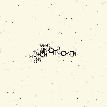 CCC1C(=O)N(C)c2cnc(Nc3ccc(C(=O)Nc4ccc(N5CCN(C)CC5)cc4)cc3OC)nc2N1N(C)C